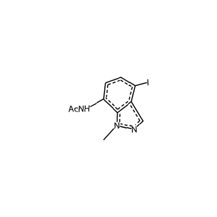 CC(=O)Nc1ccc(I)c2cnn(C)c12